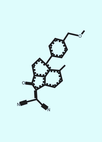 COCc1ccc(-c2ccc3c(=O)c(=C(C#N)C#N)c4ccc(C)c2c34)cc1